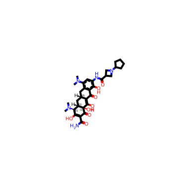 CN(C)c1cc(NC(=O)C2CN(C3CCCC3)C2)c(O)c2c1C[C@H]1C[C@H]3[C@H](N(C)C)C(O)=C(C(N)=O)C(=O)[C@@]3(O)C(O)=C1C2=O